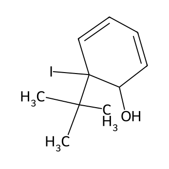 CC(C)(C)C1(I)C=CC=CC1O